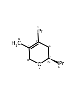 CC1=C(C(C)C)C[C@@H](C(C)C)OC1